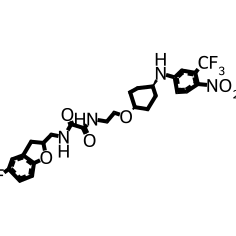 O=C(NCCO[C@H]1CC[C@H](Nc2ccc([N+](=O)[O-])c(C(F)(F)F)c2)CC1)C(=O)NCC1Cc2cc(F)ccc2O1